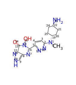 CN(c1ccc(-c2nc3c[nH]nc3c(=O)n2O)nn1)[C@H]1CC[C@H](N)CC1